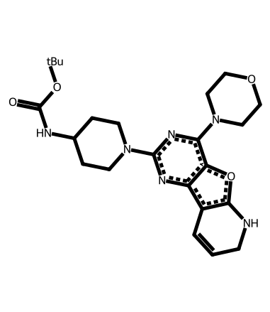 CC(C)(C)OC(=O)NC1CCN(c2nc(N3CCOCC3)c3oc4c(c3n2)C=CCN4)CC1